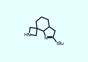 CC(C)(C)C1=NC2C(CCCC23CNC3)C1